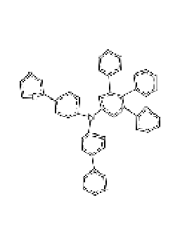 c1ccc(-c2ccc(N(c3ccc(-c4ccccc4)cc3)c3cc(-c4ccccc4)c(-c4ccccc4)c(-c4ccccc4)c3)cc2)cc1